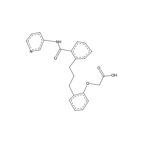 O=C(O)COc1ccccc1CCCc1ccccc1C(=O)Nc1cccnc1